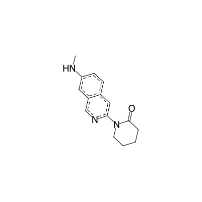 CNc1ccc2cc(N3CCCCC3=O)ncc2c1